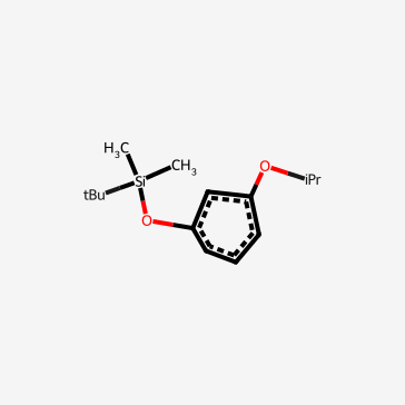 CC(C)Oc1cccc(O[Si](C)(C)C(C)(C)C)c1